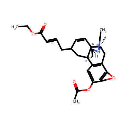 CCOC(=O)/C=C/CC1C=C[C@H]2[C@H]3Cc4c(cc(OC(C)=O)c5c4O5)[C@@]2(CCN3C)C1